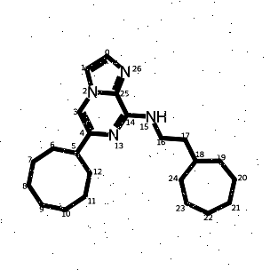 c1cn2cc(C3CCCCCCC3)nc(NCCC3CCCCCC3)c2n1